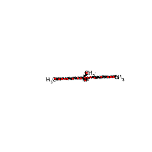 [CH2]CCCc1c(CCCCCCCCCCCCCCCCCCCCCC)cccc1CCCCCCCCCCCCCCCCCCCCCC